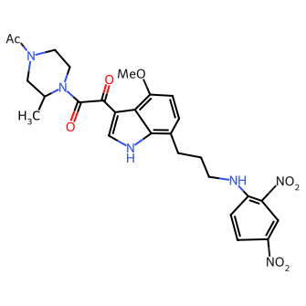 COc1ccc(CCCNc2ccc([N+](=O)[O-])cc2[N+](=O)[O-])c2[nH]cc(C(=O)C(=O)N3CCN(C(C)=O)CC3C)c12